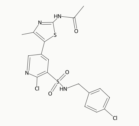 CC(=O)Nc1nc(C)c(-c2cnc(Cl)c(S(=O)(=O)NCc3ccc(Cl)cc3)c2)s1